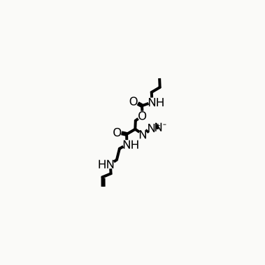 C=CCNCCNC(=O)C(COC(=O)NCCC)N=[N+]=[N-]